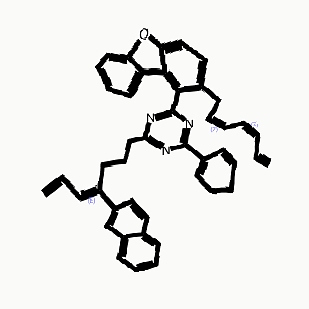 C=C/C=C\C=C/Cc1ccc2oc3ccccc3c2c1-c1nc(CCC/C(=C\C=C)c2ccc3ccccc3c2)nc(C2=CCCC=C2)n1